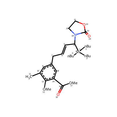 CCC[CH2][Sn]([CH2]CCC)([CH2]CCC)[CH](C=CCc1cc(C)c(OC)c(C(=O)OC)c1)N1CCOC1=O